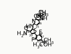 Cc1nc(Nc2sc(-c3c(F)cc(C(C)(C)O)cc3F)cc2C(N)=O)ccc1NS(C)(=O)=O